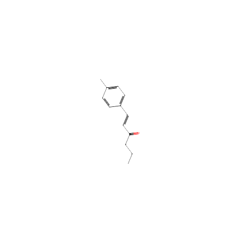 CCCC(=O)C=Cc1ccc(C)cc1